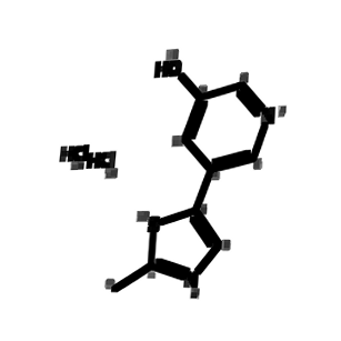 Cc1ncc(-c2cncc(O)c2)s1.Cl.Cl